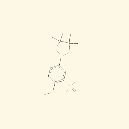 COc1ccc(B2OC(C)(C)C(C)(C)O2)cc1P(=O)(O)O